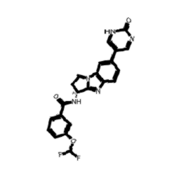 O=C(N[C@@H]1CCn2c1nc1ccc(-c3cnc(=O)[nH]c3)cc12)c1cccc(OC(F)F)c1